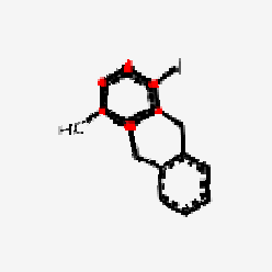 Oc1ccc(I)c2c1C1c3ccccc3C2c2ccccc21